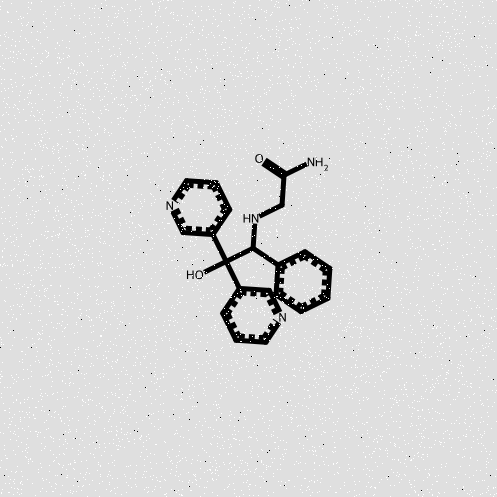 NC(=O)CNC(c1ccccc1)C(O)(c1cccnc1)c1cccnc1